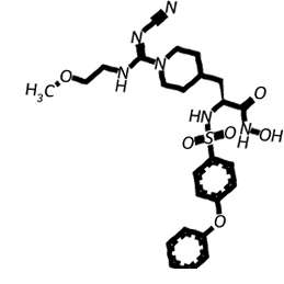 COCCN/C(=N/C#N)N1CCC(C[C@H](NS(=O)(=O)c2ccc(Oc3ccccc3)cc2)C(=O)NO)CC1